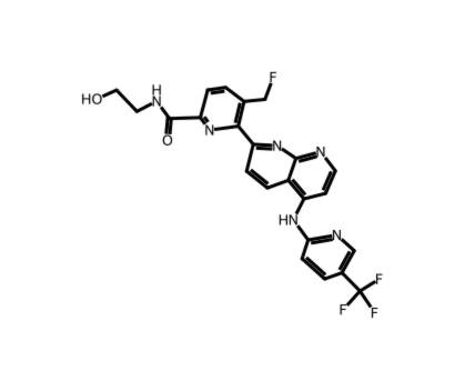 O=C(NCCO)c1ccc(CF)c(-c2ccc3c(Nc4ccc(C(F)(F)F)cn4)ccnc3n2)n1